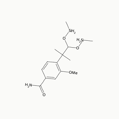 COc1cc(C(N)=O)ccc1C(C)(C)C(O[SiH2]C)O[SiH2]C